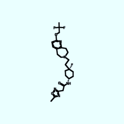 Cc1nc(CC(=O)N[C@H]2CC[C@](F)(CCN3CCc4ccc(OCC(C)(F)F)nc4CC3)CC2)no1